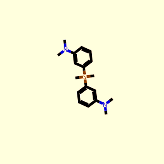 CN(C)c1cccc(S(C)(C)c2cccc(N(C)C)c2)c1